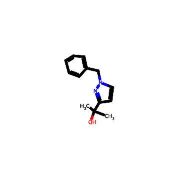 CC(C)(O)c1ccn(Cc2ccccc2)n1